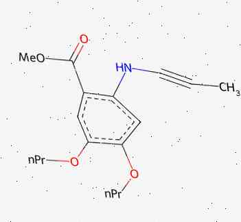 CC#CNc1cc(OCCC)c(OCCC)cc1C(=O)OC